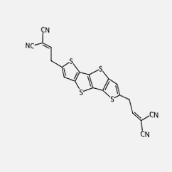 N#CC(C#N)=CCc1cc2sc3c4sc(CC=C(C#N)C#N)cc4sc3c2s1